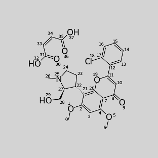 COc1cc(OC)c2c(=O)cc(-c3ccccc3Cl)oc2c1[C@H]1CCN(C)[C@@H]1CO.O=C(O)/C=C\C(=O)O